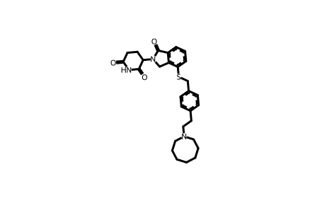 O=C1CCC(N2Cc3c(SCc4ccc(CCN5CCCCCCC5)cc4)cccc3C2=O)C(=O)N1